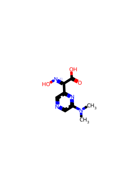 CN(C)c1cncc(/C(=N\O)C(=O)O)n1